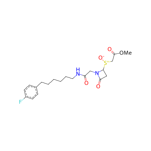 COC(=O)C[S+]([O-])C1CC(=O)N1CC(=O)NCCCCCCc1ccc(F)cc1